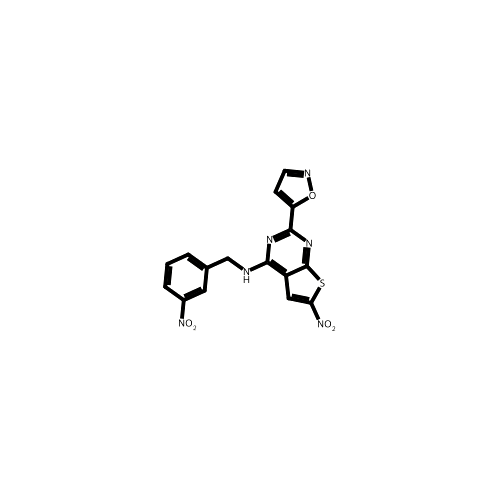 O=[N+]([O-])c1cccc(CNc2nc(-c3ccno3)nc3sc([N+](=O)[O-])cc23)c1